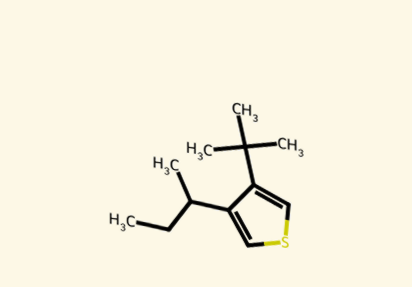 CCC(C)c1cscc1C(C)(C)C